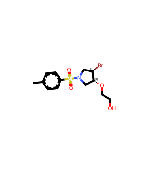 Cc1ccc(S(=O)(=O)N2C[C@@H](Br)[C@H](OCCO)C2)cc1